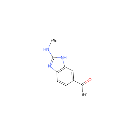 CC(C)C(=O)c1ccc2nc(NC(C)(C)C)[nH]c2c1